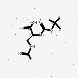 CC(=O)NC[C@H](NC(=O)OC(C)(C)C)C(=O)O